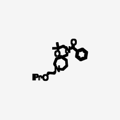 CC(C)OCCN1CCCC2(CC1)CN(C(=O)c1ccccc1)CC(C)(C)O2